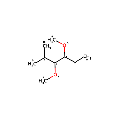 CCC(OC)C(OC)C(C)C